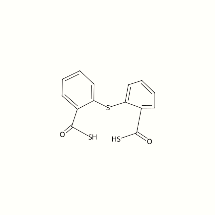 O=C(S)c1ccccc1Sc1ccccc1C(=O)S